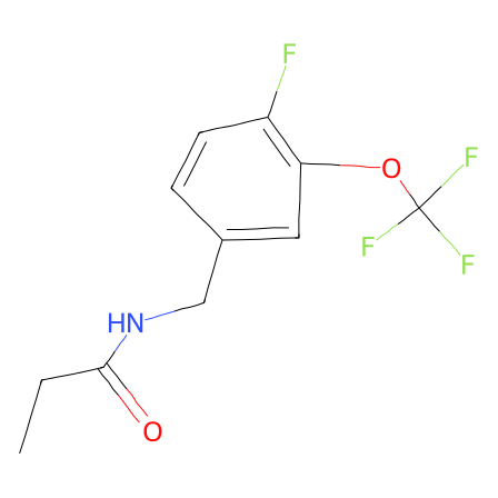 CCC(=O)NCc1ccc(F)c(OC(F)(F)F)c1